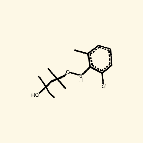 Cc1cccc(Cl)c1BOC(C)(C)C(C)(C)O